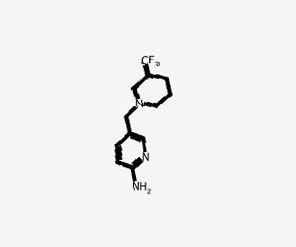 Nc1ccc(CN2CCCC(C(F)(F)F)C2)cn1